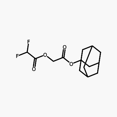 O=C(COC(=O)C(F)F)OC12CC3CC(CC(C3)C1)C2